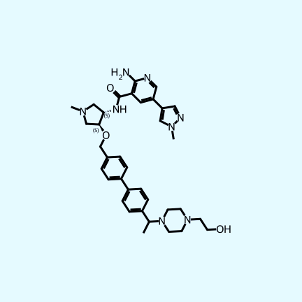 CC(c1ccc(-c2ccc(CO[C@H]3CN(C)C[C@@H]3NC(=O)c3cc(-c4cnn(C)c4)cnc3N)cc2)cc1)N1CCN(CCO)CC1